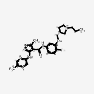 Cc1nsc(Nc2cnc(C(F)(F)F)cn2)c1C(=O)Nc1ccc(F)c(OC[C@@H]2CCN(CCC(F)(F)F)C2)c1